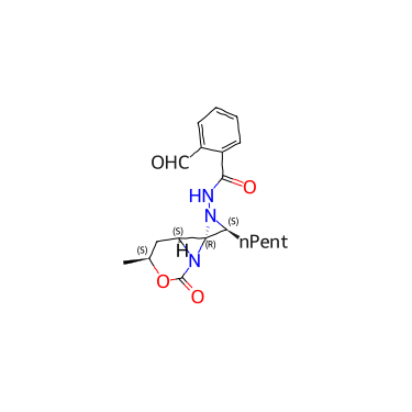 CCCCC[C@@H]1N(NC(=O)c2ccccc2C=O)[C@]12[C@@H]1C[C@H](C)OC(=O)N12